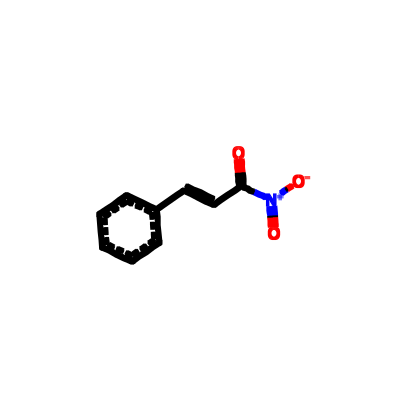 O=C(C=Cc1ccccc1)[N+](=O)[O-]